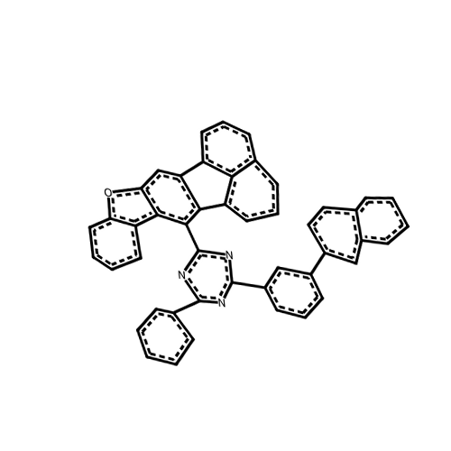 c1ccc(-c2nc(-c3cccc(-c4ccc5ccccc5c4)c3)nc(-c3c4c(cc5oc6ccccc6c35)-c3cccc5cccc-4c35)n2)cc1